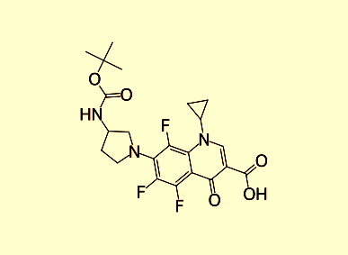 CC(C)(C)OC(=O)NC1CCN(c2c(F)c(F)c3c(=O)c(C(=O)O)cn(C4CC4)c3c2F)C1